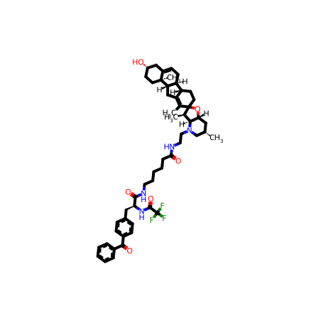 CC1=C2C[C@H]3[C@@H](CC=C4C[C@@H](O)CC[C@@]43C)[C@@H]2CCC12O[C@@H]1C[C@H](C)CN(CCNC(=O)CCCCCNC(=O)[C@H](Cc3ccc(C(=O)c4ccccc4)cc3)NC(=O)C(F)(F)F)[C@H]1[C@H]2C